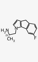 C[C@H](N)Cn1ccc2c1-c1cc(F)ccc1C2